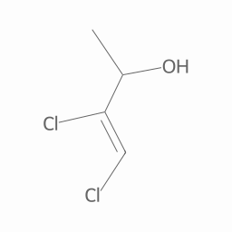 CC(O)C(Cl)=CCl